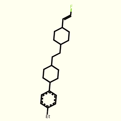 CCc1ccc(C2CCC(CCC3CCC(C=CF)CC3)CC2)cc1